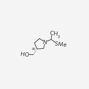 CSC(C)N1CC[C@@H](CO)C1